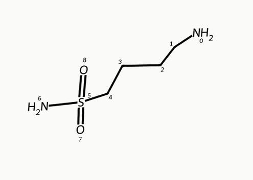 NCCCCS(N)(=O)=O